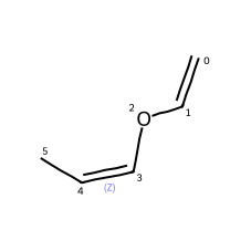 C=CO/C=C\C